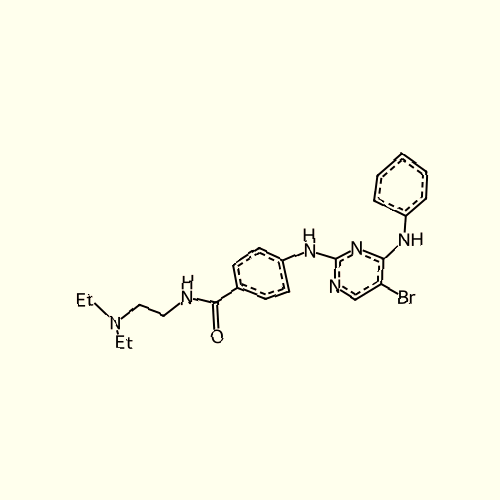 CCN(CC)CCNC(=O)c1ccc(Nc2ncc(Br)c(Nc3ccccc3)n2)cc1